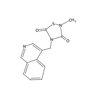 Cn1sc(=O)n(Cc2cncc3ccccc23)c1=O